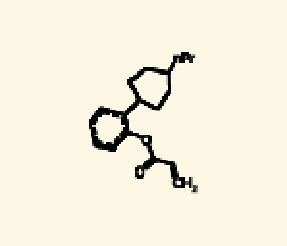 C=CC(=O)Oc1ccccc1C1CCC(CCC)CC1